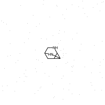 C1NC2C3CC1NC32